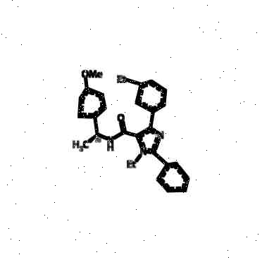 CCc1cccc(-c2nc(-c3ccccc3)n(CC)c2C(=O)N[C@@H](C)c2ccc(OC)cc2)c1